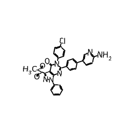 CS(=O)(=O)c1nn(-c2ccccc2)c2nc(-c3ccc(-c4ccc(N)nc4)cc3)n(-c3ccc(Cl)cc3)c(=O)c12